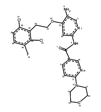 Nc1nnc(NC(=O)c2ccc(N3CCOCC3)nc2)cc1OCCc1c(Cl)ccc(F)c1Cl